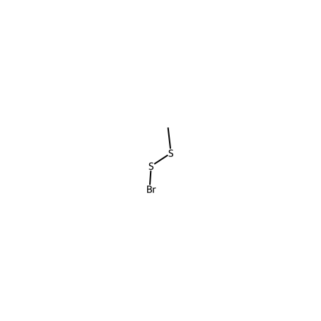 CSSBr